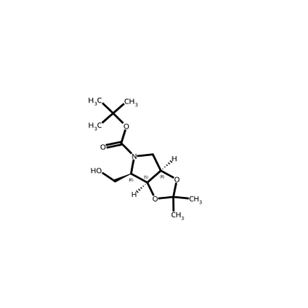 CC(C)(C)OC(=O)N1C[C@H]2OC(C)(C)O[C@H]2[C@H]1CO